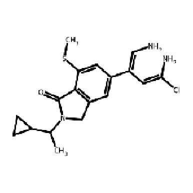 CSc1cc(C(/C=C(\N)Cl)=C/N)cc2c1C(=O)N(C(C)C1CC1)C2